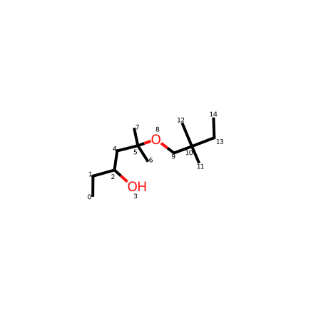 CCC(O)CC(C)(C)OCC(C)(C)CC